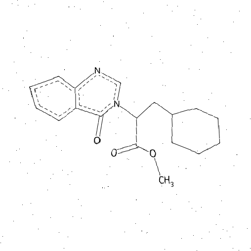 COC(=O)C(CC1CCCCC1)n1cnc2ccccc2c1=O